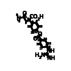 CN(C)C(=O)CC(C(=O)O)c1ccc(OC(=O)c2ccc(NC(=N)N)cc2)cc1